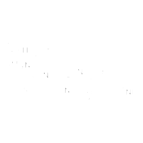 N=C(NC(=O)CC1CNC1)C1CCC2CN1C(=O)N2OS(=O)(=O)O